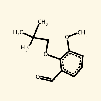 COc1cccc(C=O)c1OCC(C)(C)C